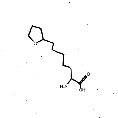 NC(CCCCCC1CCCO1)C(=O)O